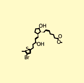 COC(=O)CCC/C=C\C[C@H]1C(O)CC[C@@H]1/C=C/[C@@H](O)CCc1cc(Br)c(C)s1